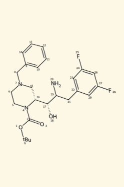 CC(C)(C)OC(=O)N1CCN(Cc2ccccc2)C[C@@H]1[C@@H](O)C(N)Cc1cc(F)cc(F)c1